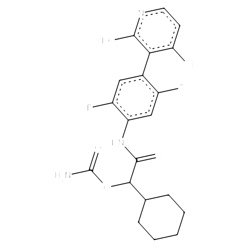 Cc1nccc(Cl)c1-c1cc(F)c(NC(=O)C(OC(N)=O)C2CCCCC2)cc1F